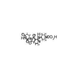 O=C1CCC(N2C(=O)c3ccnc(NC4CCN(C(=O)O)CC4)c3C2=O)C(=O)N1